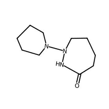 O=C1CCCCN(N2CCCCC2)N1